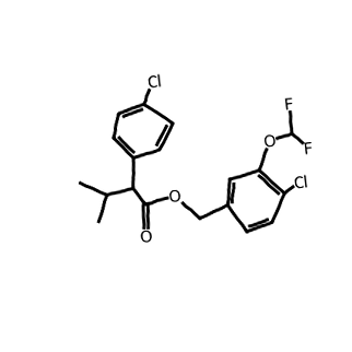 CC(C)C(C(=O)OCc1ccc(Cl)c(OC(F)F)c1)c1ccc(Cl)cc1